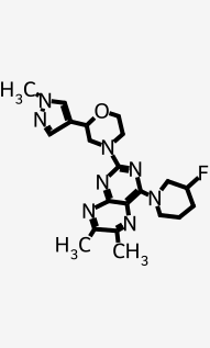 Cc1nc2nc(N3CCOC(c4cnn(C)c4)C3)nc(N3CCCC(F)C3)c2nc1C